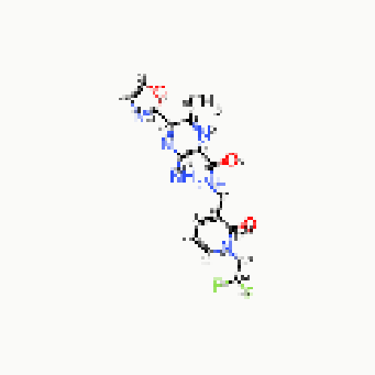 Cc1nc(C(=O)NCc2cccn(CC(F)F)c2=O)c(N)nc1-c1ncco1